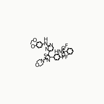 O=S(=O)(Nc1cc(-c2nc(N3CCOCC3)sc2-c2ccnc(Nc3ccc4c(c3)OCCO4)n2)ccc1F)c1c(F)cccc1F